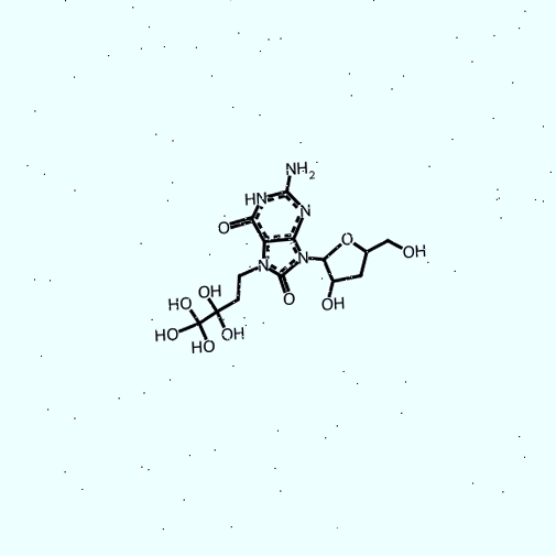 Nc1nc2c(c(=O)[nH]1)n(CCC(O)(O)C(O)(O)O)c(=O)n2C1OC(CO)CC1O